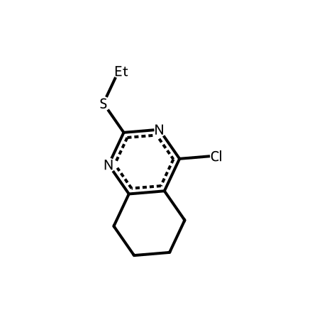 CCSc1nc(Cl)c2c(n1)CCCC2